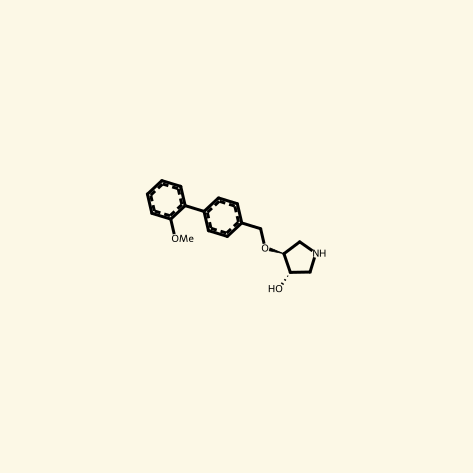 COc1ccccc1-c1ccc(CO[C@H]2CNC[C@@H]2O)cc1